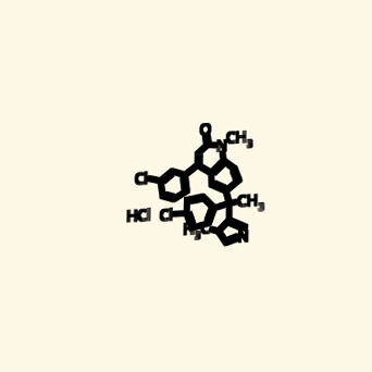 CC1C=NC=C1C(C)(c1ccc(Cl)cc1)c1ccc2c(c1)c(-c1cccc(Cl)c1)cc(=O)n2C.Cl